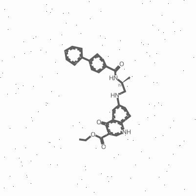 CCOC(=O)c1c[nH]c2ccc(NC[C@H](C)NC(=O)c3ccc(-c4ccccc4)cc3)cc2c1=O